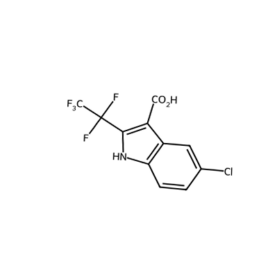 O=C(O)c1c(C(F)(F)C(F)(F)F)[nH]c2ccc(Cl)cc12